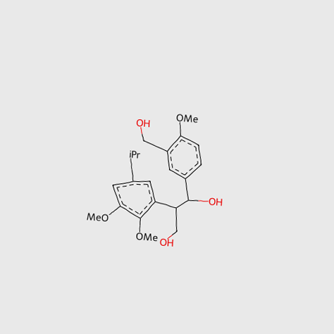 COc1ccc(C(O)C(CO)c2cc(C(C)C)cc(OC)c2OC)cc1CO